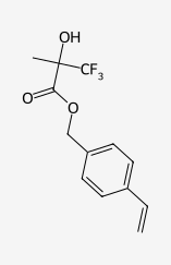 C=Cc1ccc(COC(=O)C(C)(O)C(F)(F)F)cc1